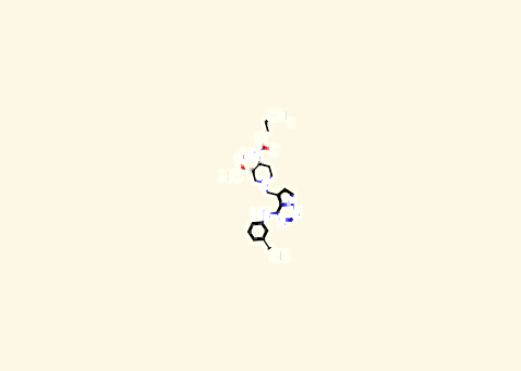 C#Cc1cccc(Nc2ncnn3ccc(CN4CC[C@@H](NC(=O)OCC=C)[C@H](C(=O)O)C4)c23)c1